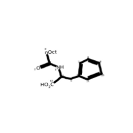 CCCCCCCCC(=O)NC(Cc1ccccc1)C(=O)O